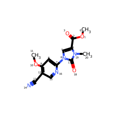 COC(=O)c1cn(-c2cc(OC)c(C#N)cn2)c(=O)n1C